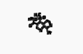 CCCC(=O)c1cnc2c(C(C)C)nccc2c1S(C)(=O)=O